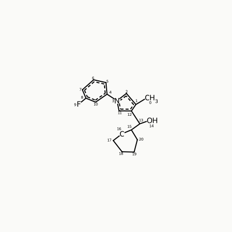 Cc1cn(-c2cccc(F)c2)cc1C(O)C1CCCCC1